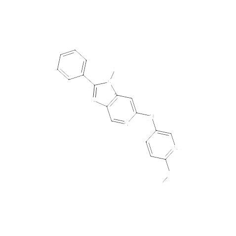 COc1ccc(Nc2cc3c(cn2)nc(-c2ccccc2)n3C)cn1